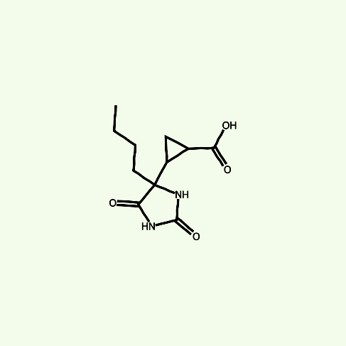 CCCCC1(C2CC2C(=O)O)NC(=O)NC1=O